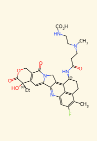 CC[C@@]1(O)C(=O)OCc2c1cc1n(c2=O)Cc2c-1nc1cc(F)c(C)c3c1c2[C@@H](NC(=O)CCN(C)CCNC(=O)O)CC3